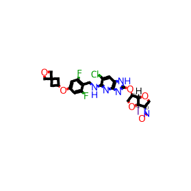 O=N[C@@H]1CO[C@@H]2[C@H](Oc3nc4nc(NCc5c(F)cc(OC6CC7(COC7)C6)cc5F)c(Cl)cc4[nH]3)CO[C@@]21I